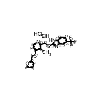 Cc1c(SCc2ccco2)ccnc1CSc1nc2cc(C(F)(F)F)ccc2[nH]1.Cl.Cl